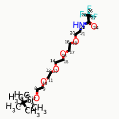 CC(C)(C)[Si](C)(C)OCCOCCOCCOCCOCCNC(=O)C(F)(F)F